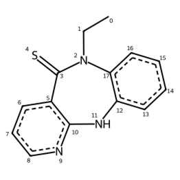 CCN1C(=S)c2cccnc2Nc2ccccc21